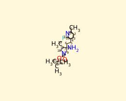 Cc1ccc(CC[C@@]2(N)CN(C(=O)OC(C)(C)C)C[C@@H]2C)c(F)n1